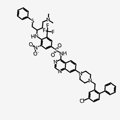 CN(C)CCC(CSc1ccccc1)Nc1c([N+](=O)[O-])cc(S(=O)(=O)Nc2ncnc3cc(N4CCN(Cc5cc(Cl)ccc5-c5ccccc5)CC4)ccc23)cc1C(F)(F)F